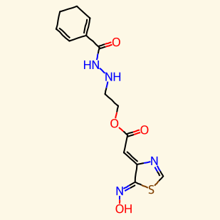 O=C(C=C1N=CSC1=NO)OCCNNC(=O)C1=CCCC=C1